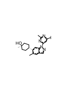 Cc1nc(I)cc(-n2ncc3cc(C)c([C@H]4CC[C@](C)(O)CC4)cc32)n1